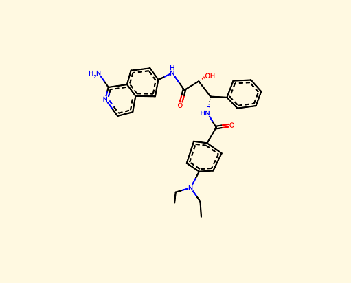 CCN(CC)c1ccc(C(=O)N[C@@H](c2ccccc2)[C@@H](O)C(=O)Nc2ccc3c(N)nccc3c2)cc1